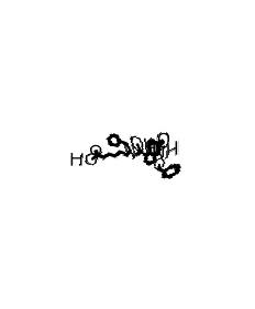 O=C(O)CCCCCN(Cc1ccccc1)CC(O)c1ccc(OCc2ccccc2)c2[nH]c(=O)ccc12